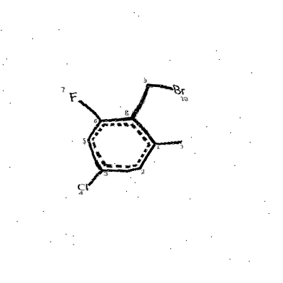 Cc1cc(Cl)cc(F)c1CBr